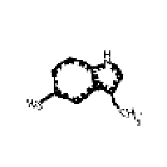 [CH2]c1c[nH]c2ccc(O)cc12